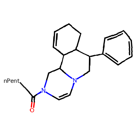 CCCCCC(=O)N1C=CN2CC(c3ccccc3)C3CCC=CC3C2C1